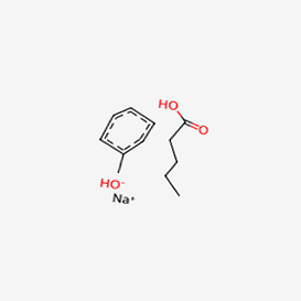 CCCCC(=O)O.Cc1ccccc1.[Na+].[OH-]